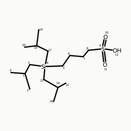 CC(C)C[Si]([CH]CCCS(=O)(=O)O)(CC(C)C)CC(C)C